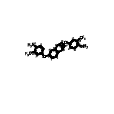 Nc1ccc(Oc2ccc3c(c2)C2CCC3C2Oc2ccc(N)c(C(F)(F)F)c2)cc1C(F)(F)F